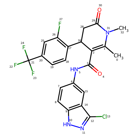 CC1=C(C(=O)Nc2ccc3[nH]nc(Cl)c3c2)C(c2ccc(C(F)(F)F)cc2F)CC(=O)N1C